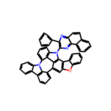 c1ccc(-c2nc3ccc4ccccc4c3nc2-n2c3cccc4c3c3c(cc5oc6ccccc6c5c32)c2cccc3c5ccccc5n4c23)cc1